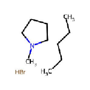 Br.CCCCC.CN1CCCC1